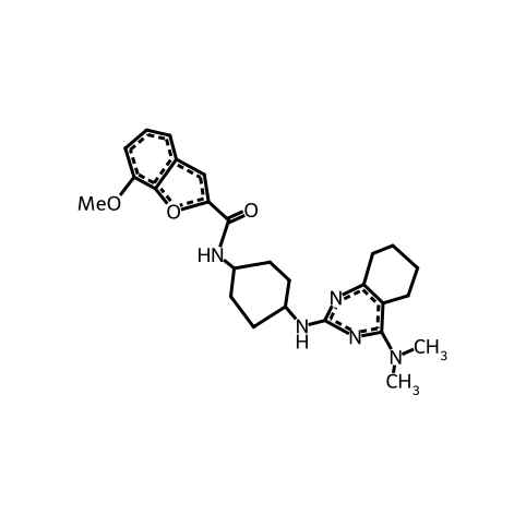 COc1cccc2cc(C(=O)NC3CCC(Nc4nc5c(c(N(C)C)n4)CCCC5)CC3)oc12